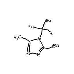 [2H]C([2H])(n1c(C)nnc1C(C)(C)C)C(C)(C)C